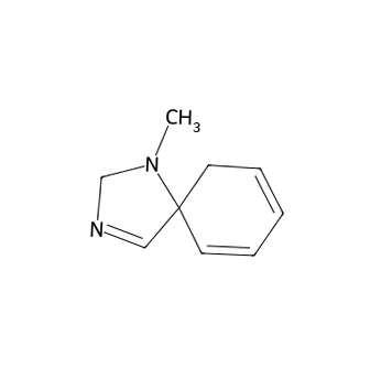 CN1CN=CC12C=CC=CC2